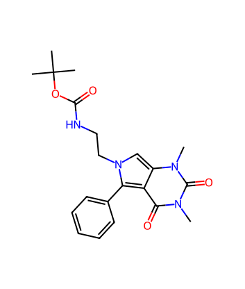 Cn1c(=O)c2c(-c3ccccc3)n(CCNC(=O)OC(C)(C)C)cc2n(C)c1=O